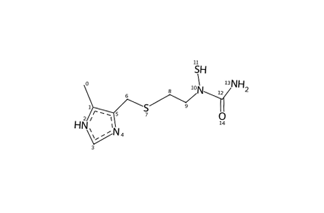 Cc1[nH]cnc1CSCCN(S)C(N)=O